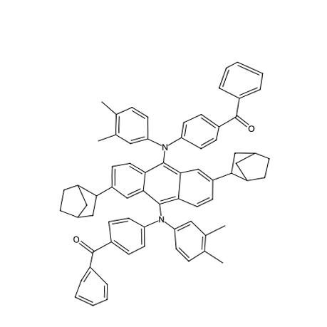 Cc1ccc(N(c2ccc(C(=O)c3ccccc3)cc2)c2c3ccc(C4CC5CCC4C5)cc3c(N(c3ccc(C(=O)c4ccccc4)cc3)c3ccc(C)c(C)c3)c3ccc(C4CC5CCC4C5)cc23)cc1C